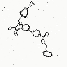 COc1ccc(Cn2c(=O)[nH]c3cc(N4CCN(C(=O)OCc5ccccc5)CC4)ccc32)cc1